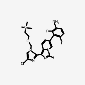 C[Si](C)(C)CCOCn1cc(Cl)nc1-c1nc(I)n2cc(-c3c(F)ccc(N)c3F)ccc12